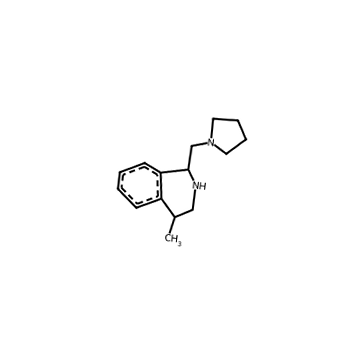 CC1CNC(CN2CCCC2)c2ccccc21